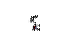 CN(C)C/C=C/C(=O)N1CC2CCC(C1)N2c1ncc(Nc2ccc(-c3cc4c(N5CCOCC5)ncnc4[nH]3)cc2)cn1